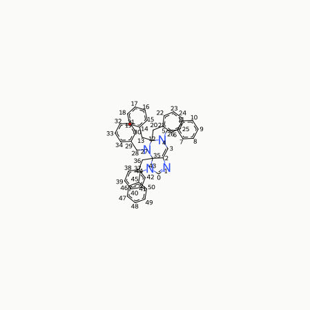 C1=NC2=CN(Cc3ccccc3)C(Cc3ccccc3)(Cc3ccccc3)N(Cc3ccccc3)C2(Cc2ccccc2)N1Cc1ccccc1